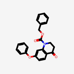 O=C1CCN(C(=O)OCc2ccccc2)c2cc(Oc3ccccc3)ccc21